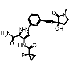 CN1CCC(O)(C#Cc2cccc(-n3cc(NC(=O)C4(F)CC4)c(C(N)=O)n3)c2)C1=O